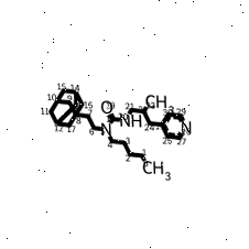 CCCCCN(CCC12CC3CC(CC(C3)C1)C2)C(=O)NCC(C)Cc1ccncc1